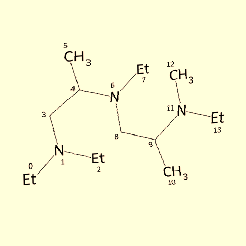 CCN(CC)CC(C)N(CC)CC(C)N(C)CC